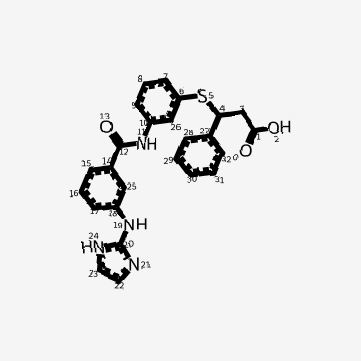 O=C(O)CC(Sc1cccc(NC(=O)c2cccc(Nc3ncc[nH]3)c2)c1)c1ccccc1